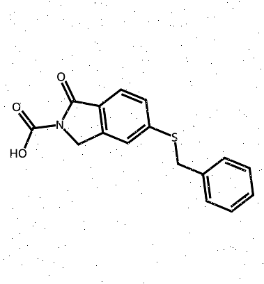 O=C(O)N1Cc2cc(SCc3ccccc3)ccc2C1=O